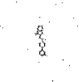 Cc1cccc(N2CCN(CCN3Cc4ccccc4C3=O)CC2)n1